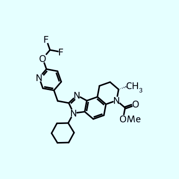 COC(=O)N1c2ccc3c(nc(Cc4ccc(OC(F)F)nc4)n3C3CCCCC3)c2CC[C@@H]1C